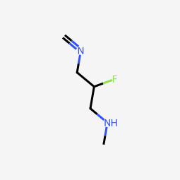 C=NCC(F)CNC